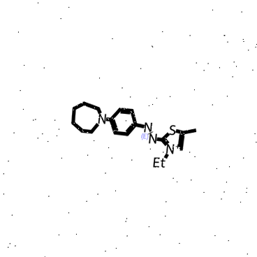 CC[n+]1cc(C)sc1/N=N/c1ccc(N2CCCCCC2)cc1